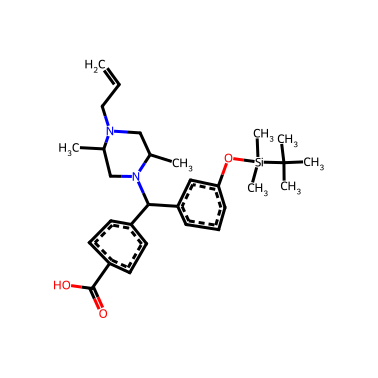 C=CCN1CC(C)N(C(c2ccc(C(=O)O)cc2)c2cccc(O[Si](C)(C)C(C)(C)C)c2)CC1C